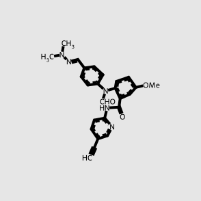 C#Cc1ccc(NC(=O)c2cc(OC)ccc2N(C=O)c2ccc(C=NN(C)C)cc2)nc1